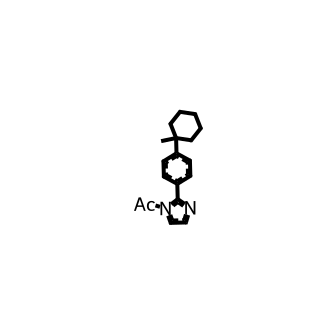 CC(=O)n1ccnc1-c1ccc(C2(C)CCCCC2)cc1